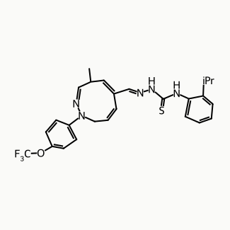 CC1/C=N\N(c2ccc(OC(F)(F)F)cc2)C\C=C/C(/C=N/NC(=S)Nc2ccccc2C(C)C)=C\1